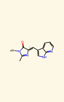 CCCN1C(=O)/C(=C/c2c[nH]c3ncccc23)N=C1C